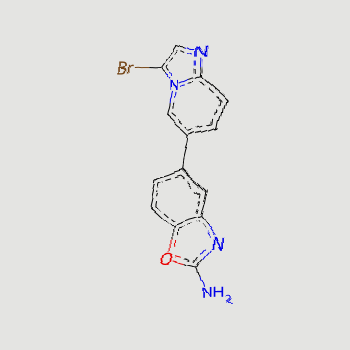 Nc1nc2cc(-c3ccc4ncc(Br)n4c3)ccc2o1